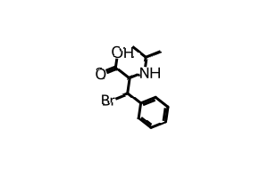 CC(C)NC(C(=O)O)C(Br)c1ccccc1